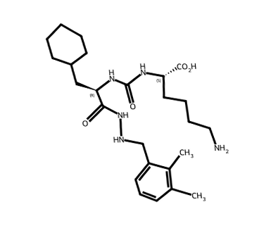 Cc1cccc(CNNC(=O)[C@@H](CC2CCCCC2)NC(=O)N[C@@H](CCCCN)C(=O)O)c1C